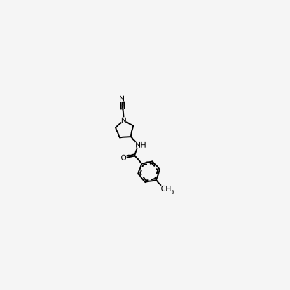 Cc1ccc(C(=O)NC2CCN(C#N)C2)cc1